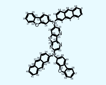 c1ccc2cc3cc(N(c4ccc5c(c4)oc4ccccc45)c4cnc5c(c4)sc4nc(N(c6ccc7cc8ccccc8cc7c6)c6ccc7c(c6)oc6ccccc67)cnc45)ccc3cc2c1